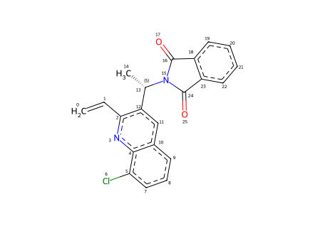 C=Cc1nc2c(Cl)cccc2cc1[C@H](C)N1C(=O)c2ccccc2C1=O